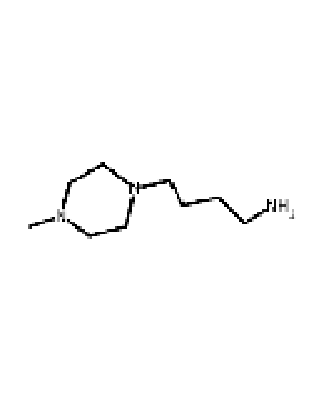 CN1CCN(CCCCN)CC1